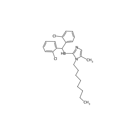 CCCCCCCCn1c(C)cnc1BC(c1ccccc1Cl)c1ccccc1Cl